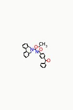 CCOC(=NC(=O)c1ccc(C(=O)c2ccccc2)cc1)N1Cc2ccccc2-c2ccccc2C1